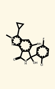 Cn1nc2c3c(c(N)cc2c1C1CC1)C(O)(c1cc(F)ccc1Cl)NC3=O